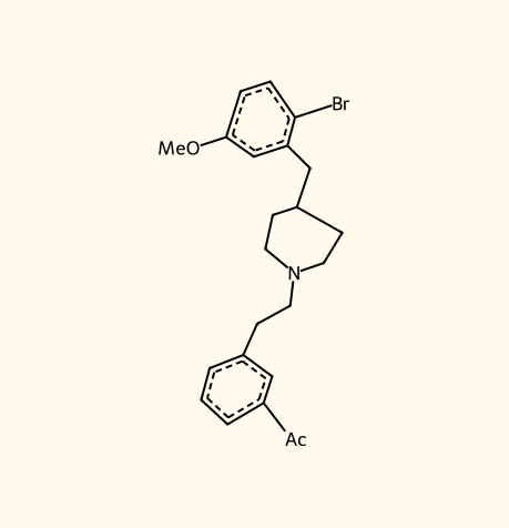 COc1ccc(Br)c(CC2CCN(CCc3cccc(C(C)=O)c3)CC2)c1